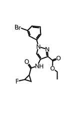 CCOC(=O)c1nn(-c2cccc(Br)c2)cc1NC(=O)C1CC1F